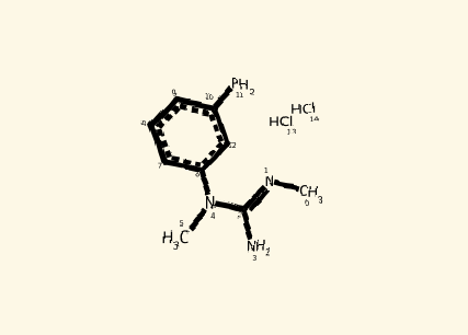 CN=C(N)N(C)c1cccc(P)c1.Cl.Cl